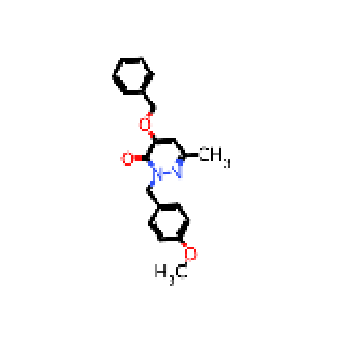 COc1ccc(Cn2nc(C)cc(OCc3ccccc3)c2=O)cc1